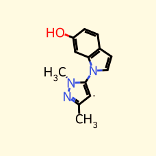 Cc1[c]c(-n2ccc3ccc(O)cc32)n(C)n1